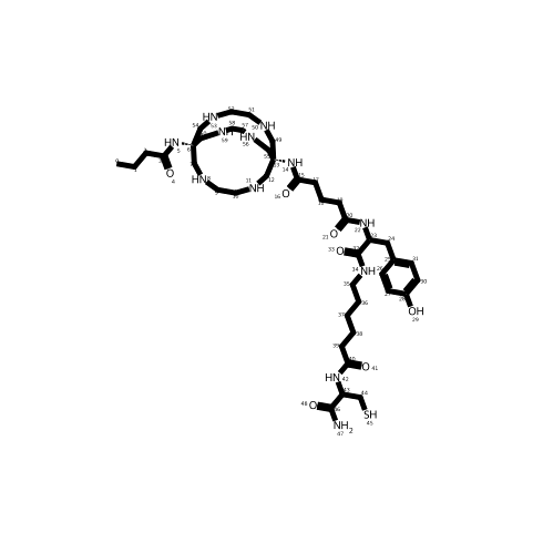 CCCC(=O)N[C@]12CNCCNC[C@](NC(=O)CCCC(=O)NC(Cc3ccc(O)cc3)C(=O)NCCCCCC(=O)NC(CS)C(N)=O)(CNCCNC1)CNCCNC2